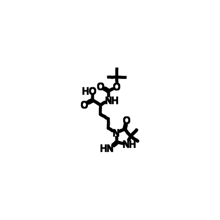 CC(C)(C)OC(=O)NC(CCCN1C(=N)NC(C)(C)C1=O)C(=O)O